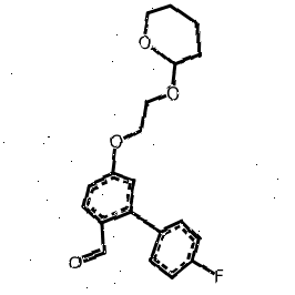 O=Cc1ccc(OCCOC2CCCCO2)cc1-c1ccc(F)cc1